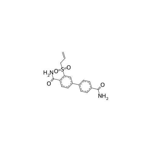 C=CCS(=O)(=O)c1cc(-c2ccc(C(N)=O)cc2)ccc1C(N)=O